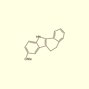 COc1ccc2[nH]c3c(c2c1)CCc1ccccc1-3